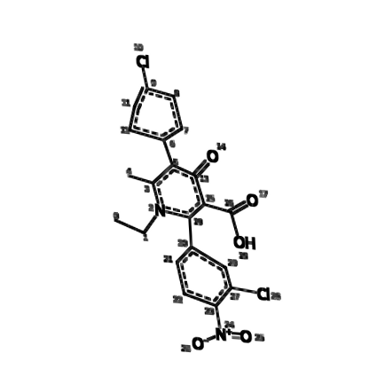 CCn1c(C)c(-c2ccc(Cl)cc2)c(=O)c(C(=O)O)c1-c1ccc([N+](=O)[O-])c(Cl)c1